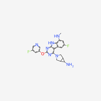 CNc1cc(F)cc2c1[nH]c1nc(Oc3cncc(F)c3)nc(N3CC4C(N)C4C3)c12